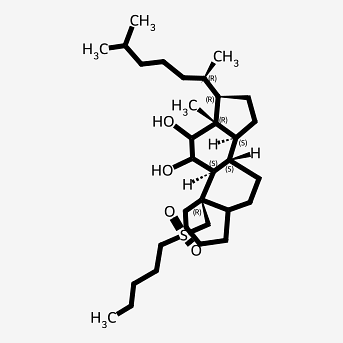 CCCCCS(=O)(=O)C[C@]12CCCCC1CC[C@@H]1[C@@H]2C(O)C(O)[C@]2(C)[C@@H]([C@H](C)CCCC(C)C)CC[C@@H]12